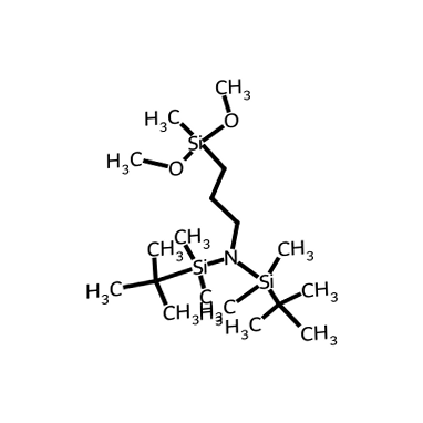 CO[Si](C)(CCCN([Si](C)(C)C(C)(C)C)[Si](C)(C)C(C)(C)C)OC